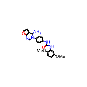 COc1ccc(OC)c(NC(=O)Nc2ccc(N3C=Nc4occc4C3N)cc2)c1